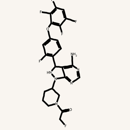 Nc1ncnc2c1C(c1ccc(Oc3c(F)c(F)cc(F)c3F)cc1F)NN2C1CCCN(C(=O)CF)C1